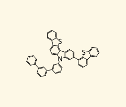 c1ccc(-c2cccc(-c3cccc(-n4c5cc(-c6cccc7c6sc6ccccc67)ccc5c5c6sc7ccccc7c6ccc54)c3)c2)cc1